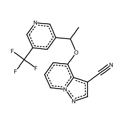 CC(Oc1cccn2ncc(C#N)c12)c1cncc(C(F)(F)F)c1